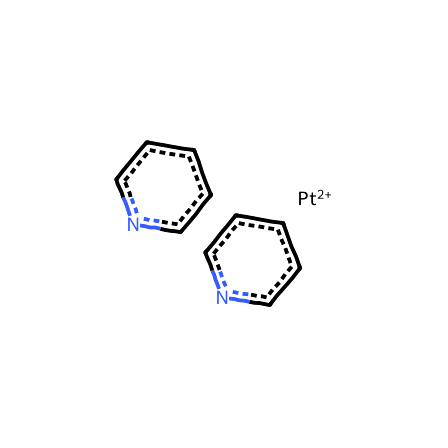 [Pt+2].c1ccncc1.c1ccncc1